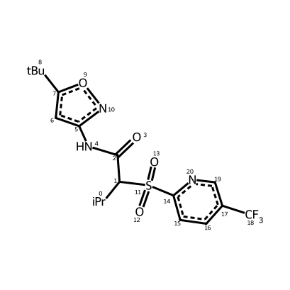 CC(C)C(C(=O)Nc1cc(C(C)(C)C)on1)S(=O)(=O)c1ccc(C(F)(F)F)cn1